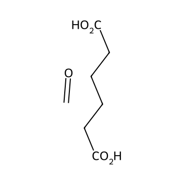 C=O.O=C(O)CCCCC(=O)O